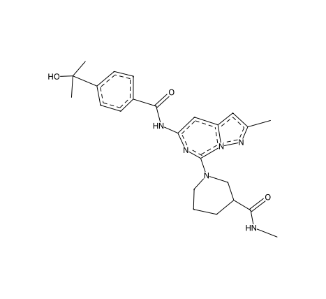 CNC(=O)C1CCCN(c2nc(NC(=O)c3ccc(C(C)(C)O)cc3)cc3cc(C)nn23)C1